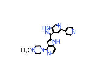 CN1CCN(c2nccc3[nH]c(-c4n[nH]c5cnc(-c6ccncc6)cc45)cc23)CC1